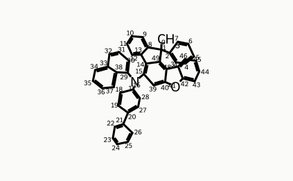 CC1(c2ccccc2)c2ccccc2-c2c(N(c3ccc(-c4ccccc4)cc3)c3cccc4ccccc34)cc3oc4ccccc4c3c21